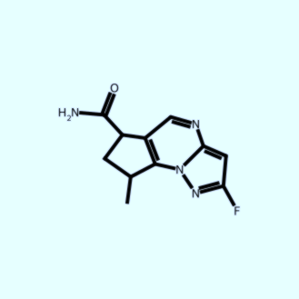 CC1CC(C(N)=O)c2cnc3cc(F)nn3c21